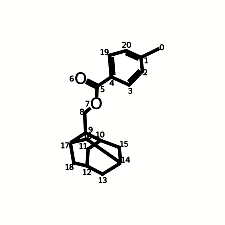 Cc1ccc(C(=O)OCC2C3CC4CC(C3)CC2C4)cc1